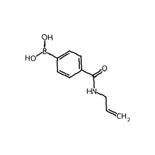 C=CCNC(=O)c1ccc(B(O)O)cc1